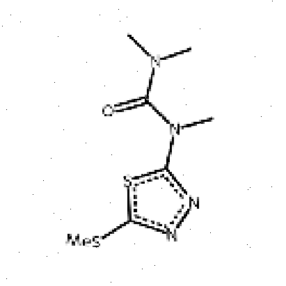 CSc1nnc(N(C)C(=O)N(C)C)s1